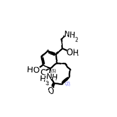 C[C@]12NC(=O)/C=C\CCC1C(C(O)CN)=CC=C2O